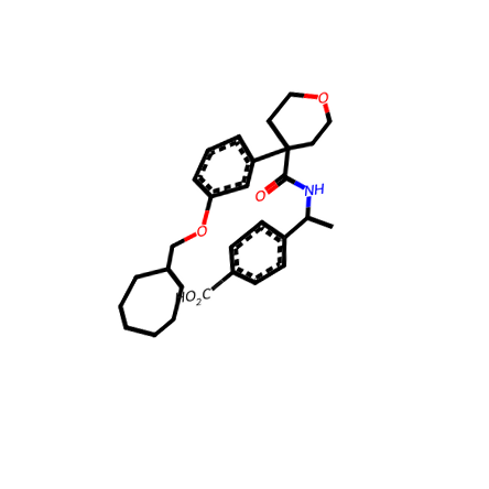 CC(NC(=O)C1(c2cccc(OCC3CCCCCC3)c2)CCOCC1)c1ccc(C(=O)O)cc1